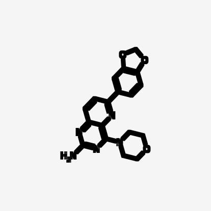 Nc1nc(N2CCOCC2)c2nc(-c3ccc4c(c3)OCO4)ccc2n1